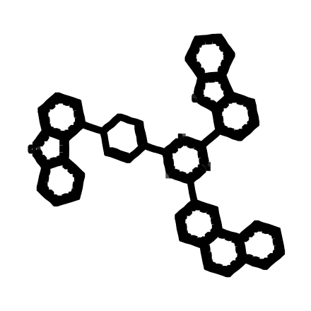 C1=CC(c2cccc3oc4ccccc4c23)CC=C1c1nc(-c2ccc3ccc4ccccc4c3c2)nc(-c2cccc3c2oc2ccccc23)n1